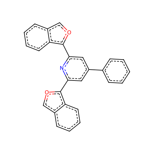 c1ccc(-c2cc(-c3occ4ccccc34)nc(-c3occ4ccccc34)c2)cc1